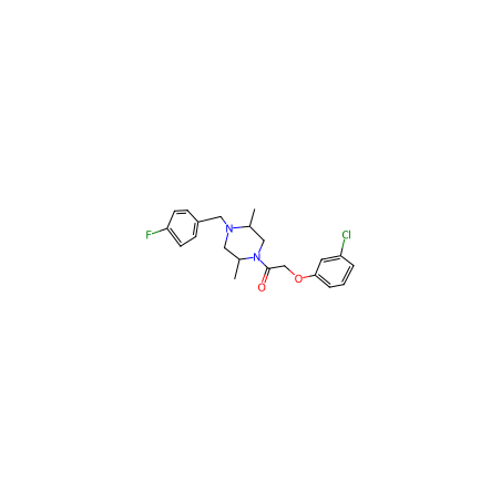 CC1CN(C(=O)COc2cccc(Cl)c2)C(C)CN1Cc1ccc(F)cc1